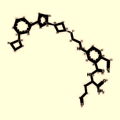 NC(=O)C(CCC=O)NC(=O)c1cc(NCCC[C@H]2C[C@H](n3cc(-c4cccc(N5CCC5)n4)cn3)C2)ccc1C=O